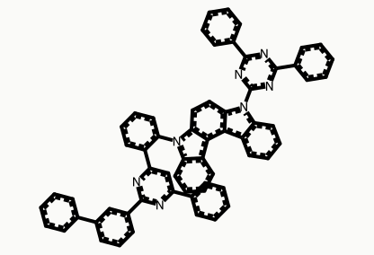 c1ccc(-c2cccc(-c3nc(-c4ccccc4)cc(-c4ccccc4-n4c5ccccc5c5c6c7ccccc7n(-c7nc(-c8ccccc8)nc(-c8ccccc8)n7)c6ccc54)n3)c2)cc1